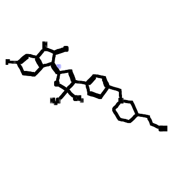 CC1(C)O/C(=C2/C(=O)Nc3cc(F)ccc32)C=C1c1ccc(CN2CCCC(CCO)C2)cc1